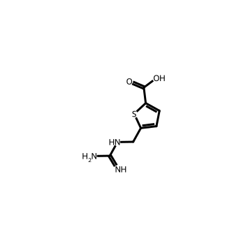 N=C(N)NCc1ccc(C(=O)O)s1